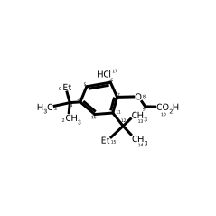 CCC(C)(C)c1ccc(OCC(=O)O)c(C(C)(C)CC)c1.Cl